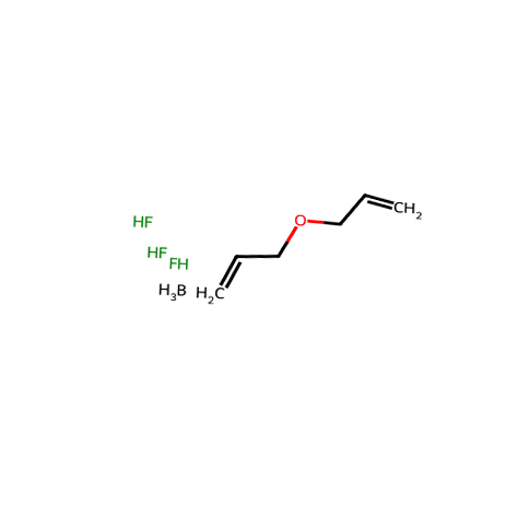 B.C=CCOCC=C.F.F.F